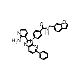 Nc1ncccc1-c1nc2ccc(-c3ccccc3)nc2n1-c1ccc(C(=O)NCc2ccc3ccoc3c2)cc1